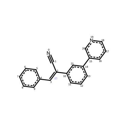 N#C/C(=C\c1ccccc1)c1cccc(-c2cccnc2)c1